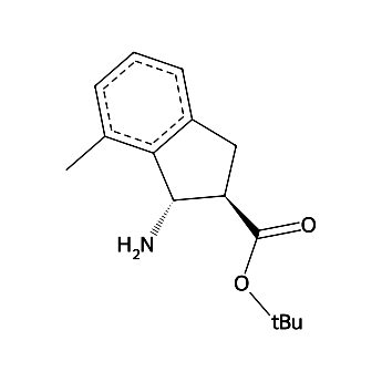 Cc1cccc2c1[C@@H](N)[C@H](C(=O)OC(C)(C)C)C2